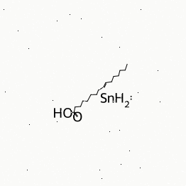 CCCCCCC=CCCCCCCCC(=O)O.[SnH2]